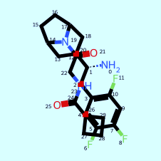 N[C@H](Cc1cc(F)c(F)cc1F)C1CC2CCC(C1)N2C(=O)CNC(=O)C1CCC1